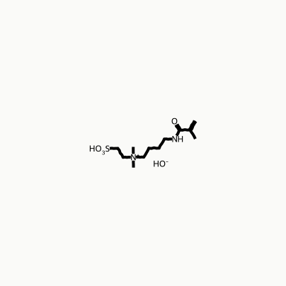 C=C(C)C(=O)NCCCC[N+](C)(C)CCS(=O)(=O)O.[OH-]